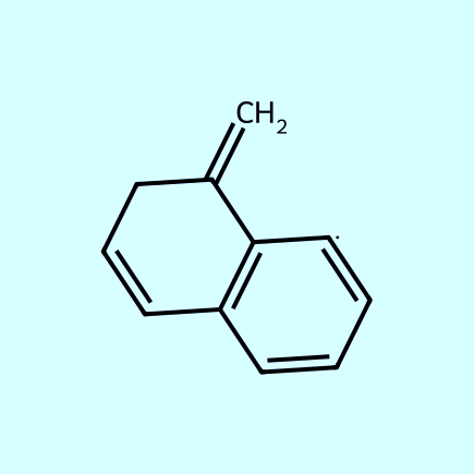 C=C1CC=Cc2ccc[c]c21